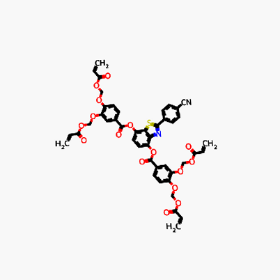 C=CC(=O)OCOc1ccc(C(=O)Oc2ccc(OC(=O)c3ccc(OCOC(=O)C=C)c(OCOC(=O)C=C)c3)c3sc(-c4ccc(C#N)cc4)nc23)cc1OCOC(=O)C=C